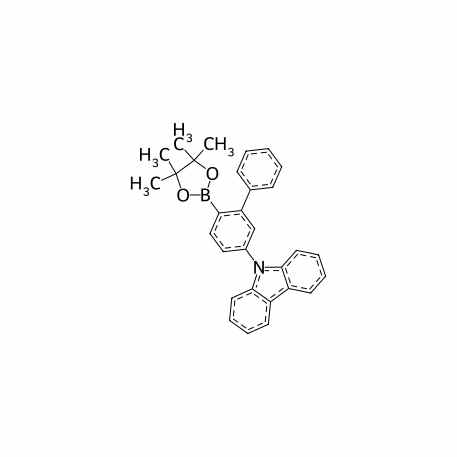 CC1(C)OB(c2ccc(-n3c4ccccc4c4ccccc43)cc2-c2ccccc2)OC1(C)C